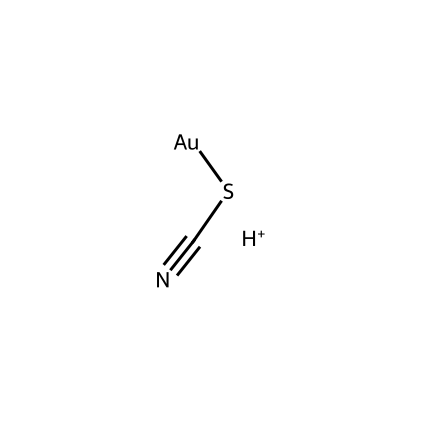 N#C[S][Au].[H+]